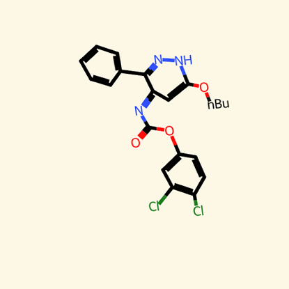 CCCCOc1cc(=NC(=O)Oc2ccc(Cl)c(Cl)c2)c(-c2ccccc2)n[nH]1